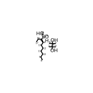 CC(C)(O)C(C)(C)O.CCCCCCC=C(CC)B(O)O